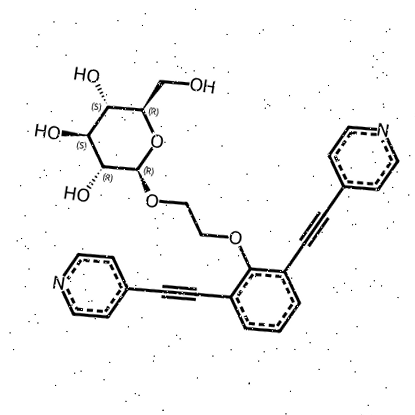 OC[C@H]1O[C@@H](OCCOc2c(C#Cc3ccncc3)cccc2C#Cc2ccncc2)[C@H](O)[C@@H](O)[C@@H]1O